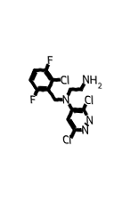 NCCN(Cc1c(F)ccc(F)c1Cl)c1cc(Cl)nnc1Cl